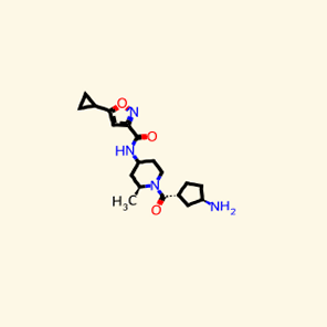 C[C@H]1CC(NC(=O)c2cc(C3CC3)on2)CCN1C(=O)[C@@H]1CC[C@@H](N)C1